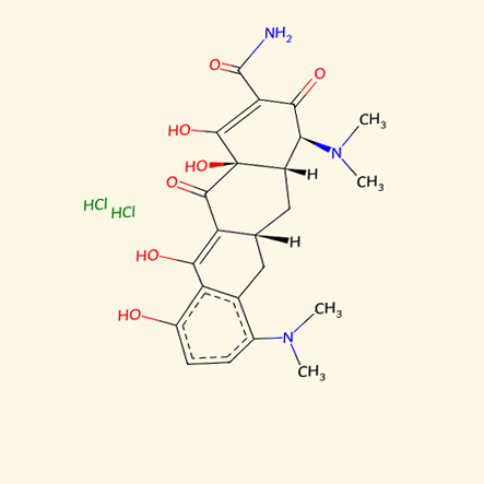 CN(C)c1ccc(O)c2c1C[C@H]1C[C@H]3[C@H](N(C)C)C(=O)C(C(N)=O)=C(O)[C@@]3(O)C(=O)C1=C2O.Cl.Cl